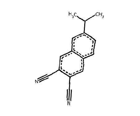 CC(C)c1ccc2cc(C#N)c(C#N)cc2c1